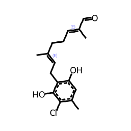 C/C(C=O)=C\CC/C(C)=C/Cc1c(O)cc(C)c(Cl)c1O